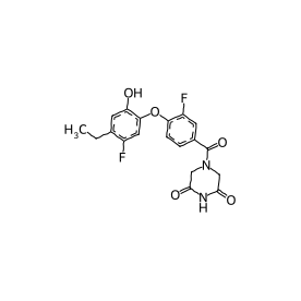 CCc1cc(O)c(Oc2ccc(C(=O)N3CC(=O)NC(=O)C3)cc2F)cc1F